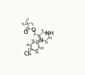 CC(C)(C)C(=O)OCC1CNCCN1c1ccc(Cl)cc1